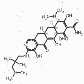 CN(C)CC(C)(C)CNc1ncc2c(c1O)C(=O)C1=C(O)[C@]3(O)C(=O)C(C(N)=O)=C(O)[C@@H](N(C)C)[C@@H]3C[C@@H]1C2